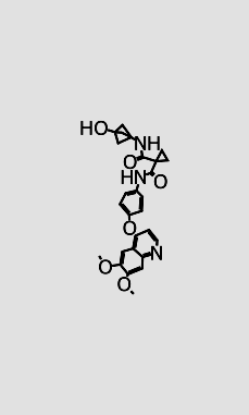 COc1cc2nccc(Oc3ccc(NC(=O)C4(C(=O)NC56CC(O)(C5)C6)CC4)cc3)c2cc1OC